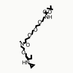 CC/C(=C\COCCN(C)C(=O)CCOCCOCCOCCNC(=O)OC(C)(C)C)NC1CC1